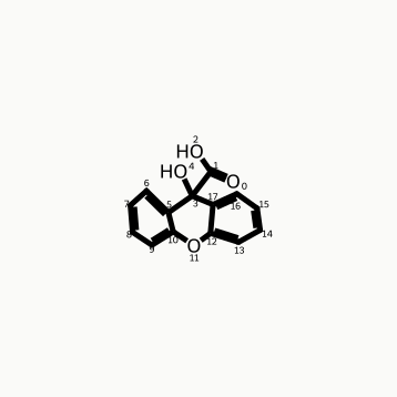 O=C(O)C1(O)c2ccccc2Oc2ccccc21